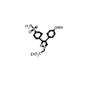 CCOC(=O)Cn1cc(-c2ccc(OC)cc2)c(-c2ccc(S(N)(=O)=O)cc2)n1